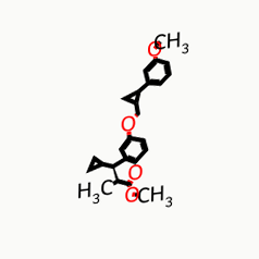 COC(=O)C(C)[C@H](c1cccc(OCC2CC2c2cccc(OC)c2)c1)C1CC1